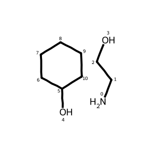 NCCO.OC1CCCCC1